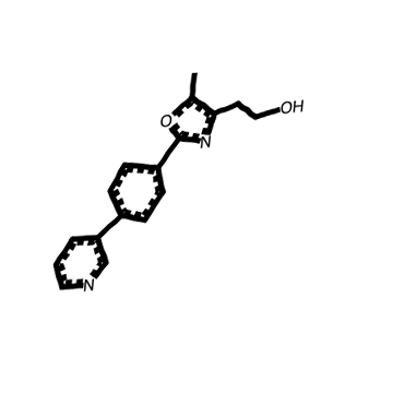 Cc1oc(-c2ccc(-c3cccnc3)cc2)nc1CCO